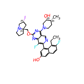 CCc1c(F)ccc2cc(O)cc(-c3ncc4c(N5CC[C@@H](C)[C@@H](O)C5)nc(OC[C@@]56CCCN5C[C@H](I)C6)nc4c3F)c12